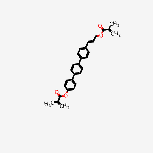 C=C(C)C(=O)OC/C=C/c1ccc(-c2ccc(-c3ccc(OC(=O)C(=C)C)cc3)cc2)cc1